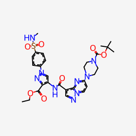 CCOC(=O)c1nn(-c2ccc(S(=O)(=O)NC)cc2)cc1NC(=O)c1cnn2ccc(N3CCN(C(=O)OC(C)(C)C)CC3)nc12